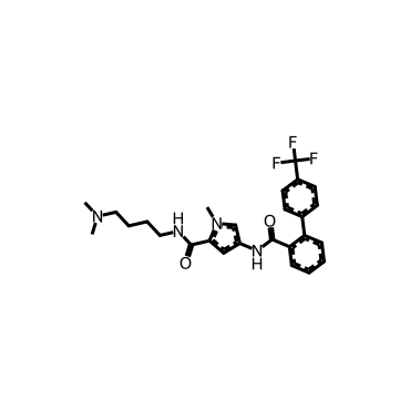 CN(C)CCCCNC(=O)c1cc(NC(=O)c2ccccc2-c2ccc(C(F)(F)F)cc2)cn1C